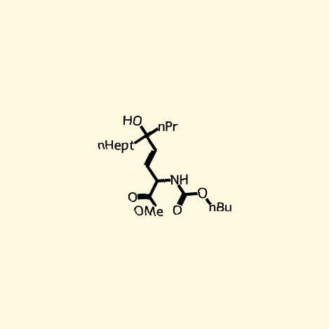 CCCCCCCC(O)(/C=C/C(NC(=O)OCCCC)C(=O)OC)CCC